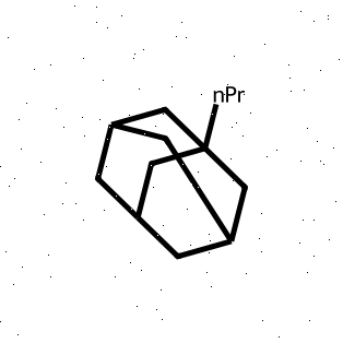 C[CH]CC12CC3CC(CC(C3)C1)C2